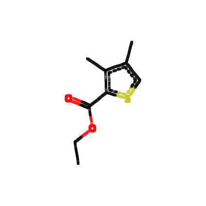 CCOC(=O)c1scc(C)c1C